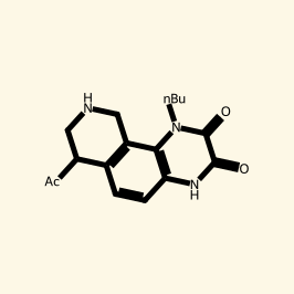 CCCCn1c(=O)c(=O)[nH]c2ccc3c(c21)CNCC3C(C)=O